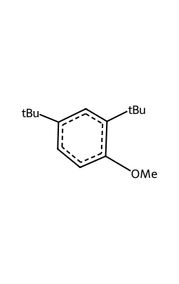 [C]Oc1ccc(C(C)(C)C)cc1C(C)(C)C